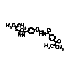 CC(C)Sc1nnc(-c2ccc(OCCNC(=O)c3ccc(C(=O)C(C)C)cc3)cc2)o1